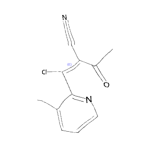 CC(=O)/C(C#N)=C(/Cl)c1ncccc1C